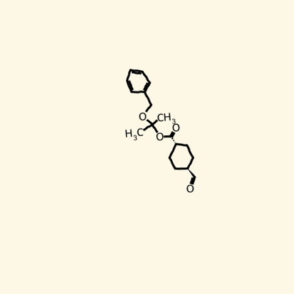 CC(C)(OCc1ccccc1)OC(=O)[C@H]1CC[C@H](C=O)CC1